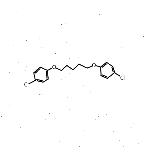 Clc1ccc(OCCCCCOc2ccc(Cl)cc2)cc1